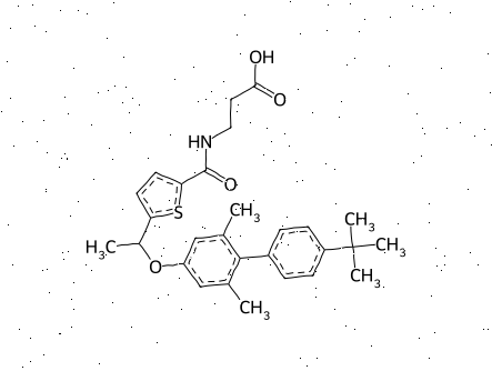 Cc1cc(OC(C)c2ccc(C(=O)NCCC(=O)O)s2)cc(C)c1-c1ccc(C(C)(C)C)cc1